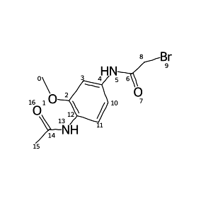 COc1cc(NC(=O)CBr)ccc1NC(C)=O